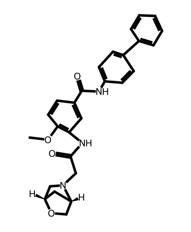 COc1ccc(C(=O)Nc2ccc(-c3ccccc3)cc2)cc1NC(=O)CN1C[C@@H]2C[C@H]1CO2